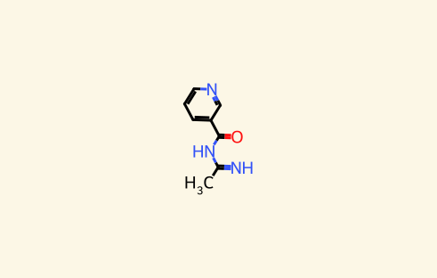 CC(=N)NC(=O)c1cccnc1